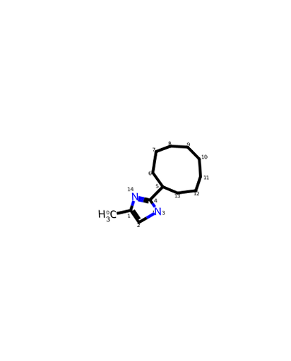 CC1=C[N]C(C2CCCCCCCC2)=N1